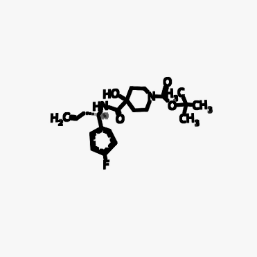 C=CC[C@H](NC(=O)C1(O)CCN(C(=O)OC(C)(C)C)CC1)c1ccc(F)cc1